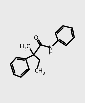 CCC(C)(C(=O)Nc1ccccc1)c1ccccc1